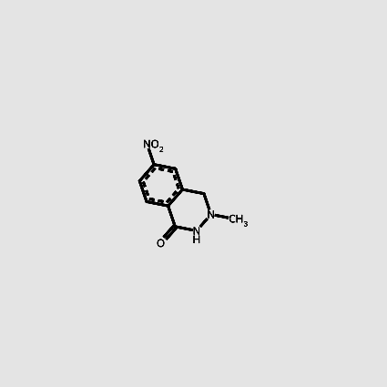 CN1Cc2cc([N+](=O)[O-])ccc2C(=O)N1